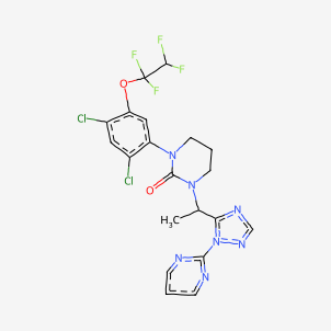 CC(c1ncnn1-c1ncccn1)N1CCCN(c2cc(OC(F)(F)C(F)F)c(Cl)cc2Cl)C1=O